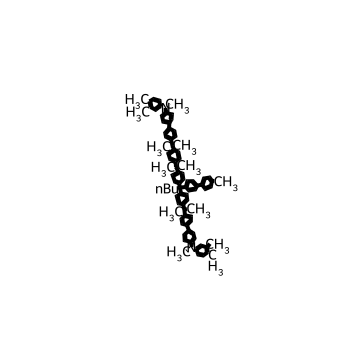 CCCCC(c1ccc(-c2ccc(C)cc2)cc1)(c1ccc(C(C)(C)c2ccc(-c3ccc(N(C)c4ccc(C)c(C)c4)cc3)cc2)cc1)c1ccc(C(C)(C)c2ccc(C(C)(C)c3ccc(-c4ccc(N(C)c5ccc(C)c(C)c5)cc4)cc3)cc2)cc1